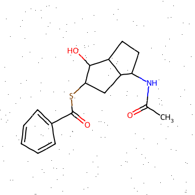 CC(=O)NC1CCC2C(O)C(SC(=O)c3ccccc3)CC12